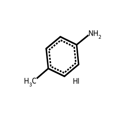 Cc1ccc(N)cc1.I